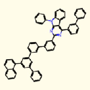 c1ccc(-c2cc(-c3cccc(-c4cccc(-c5nc(-c6cccc(-c7ccccc7)c6)c6c7ccccc7n(-c7ccccc7)c6n5)c4)c3)cc(-c3cccc4ccccc34)c2)cc1